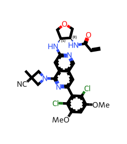 C=CC(=O)N[C@H]1COC[C@H]1Nc1cc2c(N3CC(C)(C#N)C3)nc(-c3c(Cl)c(OC)cc(OC)c3Cl)cc2cn1